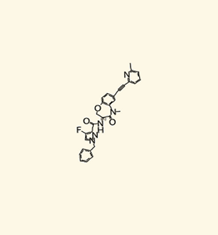 Cc1cccc(C#Cc2ccc3c(c2)N(C)C(=O)[C@H](NC(=O)c2nn(Cc4ccccc4)cc2F)CO3)n1